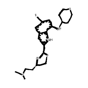 CN(C)CC[C@@H]1CSC(c2cc3cc(F)cc(NC4CCOCC4)c3[nH]2)=N1